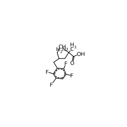 CCC(Cc1c(F)c(F)cc(F)c1F)CC(C)(N)C(=O)O